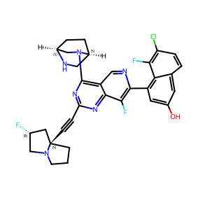 Oc1cc(-c2ncc3c(N4C[C@@H]5CC[C@H]4CN5)nc(C#C[C@@]45CCCN4C[C@H](F)C5)nc3c2F)c2c(F)c(Cl)ccc2c1